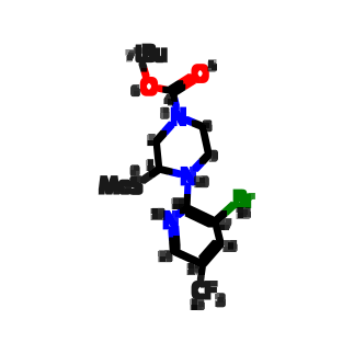 CSC1CN(C(=O)OC(C)(C)C)CCN1c1ncc(C(F)(F)F)cc1Br